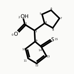 O=C(O)C(C1CCCC1)C1C=CC=CC1=S